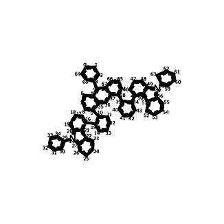 c1ccc(-c2c3cccc(-c4ccccc4-c4cccc5c4c4ccccc4n5-c4ccccc4)c3cc3c(-c4ccccc4-c4cccc5c4c4ccccc4n5-c4ccccc4)cccc23)cc1